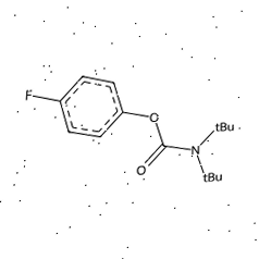 CC(C)(C)N(C(=O)Oc1ccc(F)cc1)C(C)(C)C